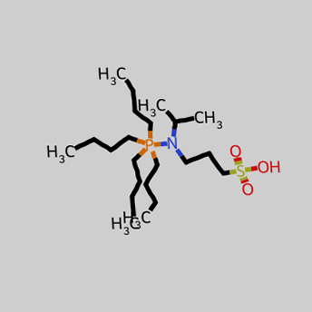 CCCCP(CCCC)(CCCC)(CCCC)N(CCCS(=O)(=O)O)C(C)C